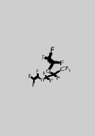 FC(F)=C(F)OC(F)(F)C(F)(OC(F)=C(F)F)C(F)(F)F